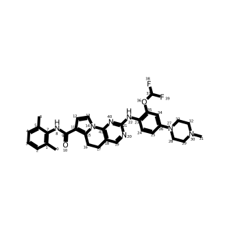 Cc1cccc(C)c1NC(=O)c1ccn2c1CCc1cnc(Nc3ccc(N4CCN(C)CC4)cc3OC(F)F)nc1-2